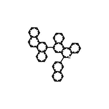 c1ccc2cc(-c3nc4ccccc4c4c3cc(-c3cc5c6ccccc6ccc5c5ccccc35)c3ccccc34)ccc2c1